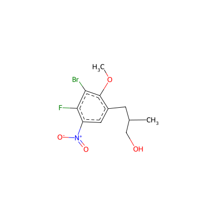 COc1c(CC(C)CO)cc([N+](=O)[O-])c(F)c1Br